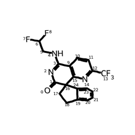 O=C1N=C(NCC(F)F)c2ccc(C(F)(F)F)nc2C12CCc1ccccc12